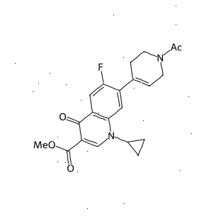 COC(=O)c1cn(C2CC2)c2cc(C3=CCN(C(C)=O)CC3)c(F)cc2c1=O